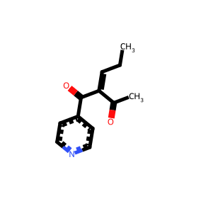 CCC=C(C(C)=O)C(=O)c1ccncc1